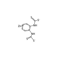 S=C([S-])Nc1ccccc1NC(=S)[S-].[Zn+2]